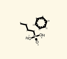 CCCCP(=O)(O)O.c1ccccc1